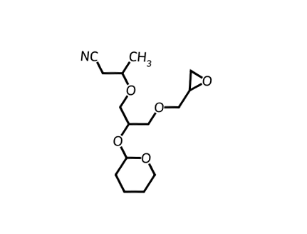 CC(CC#N)OCC(COCC1CO1)OC1CCCCO1